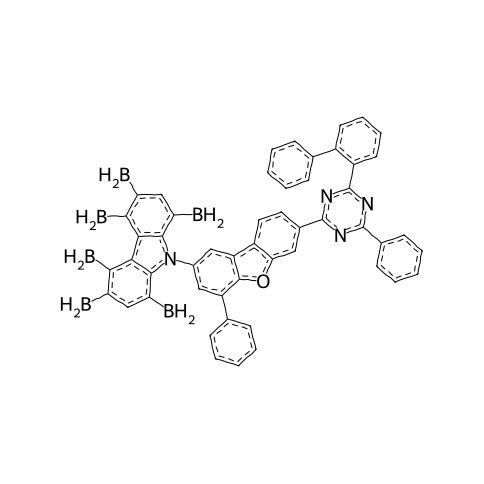 Bc1cc(B)c2c(c1B)c1c(B)c(B)cc(B)c1n2-c1cc(-c2ccccc2)c2oc3cc(-c4nc(-c5ccccc5)nc(-c5ccccc5-c5ccccc5)n4)ccc3c2c1